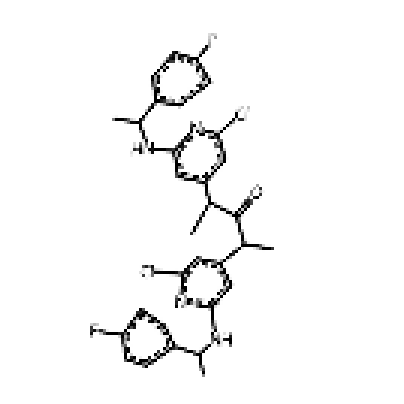 CC(Nc1cc(C(C)C(=O)C(C)c2cc(Cl)nc(NC(C)c3ccc(F)cc3)c2)cc(Cl)n1)c1ccc(F)cc1